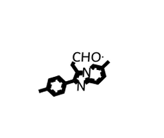 Cc1ccc(-c2nc3ccc(C)cn3c2C[C]=O)cc1